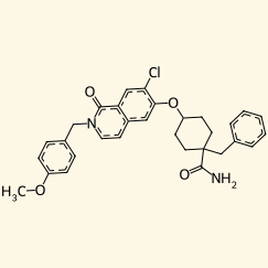 COc1ccc(Cn2ccc3cc(OC4CCC(Cc5ccccc5)(C(N)=O)CC4)c(Cl)cc3c2=O)cc1